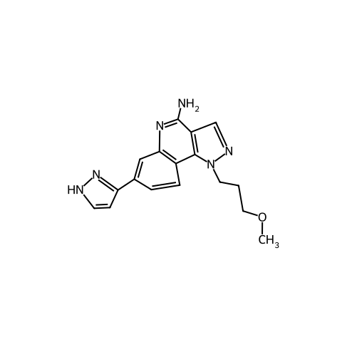 COCCCn1ncc2c(N)nc3cc(-c4cc[nH]n4)ccc3c21